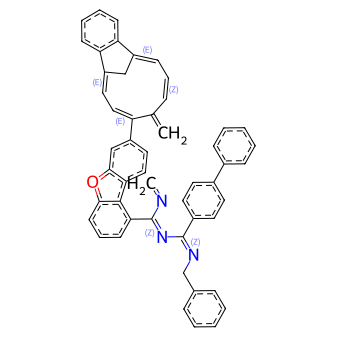 C=N/C(=N\C(=N/Cc1ccccc1)c1ccc(-c2ccccc2)cc1)c1cccc2oc3cc(/C4=C/C=C5\C/C(=C\C=C/C4=C)c4ccccc45)ccc3c12